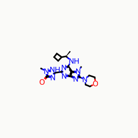 C[C@@H](Nc1nc(-c2nc(=O)n(C)[nH]2)nc2nc(N3CCOCC3)n(C)c12)C1CCC1